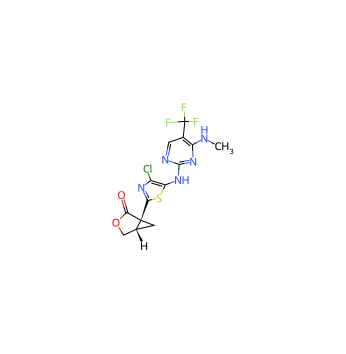 CNc1nc(Nc2sc([C@@]34C[C@@H]3COC4=O)nc2Cl)ncc1C(F)(F)F